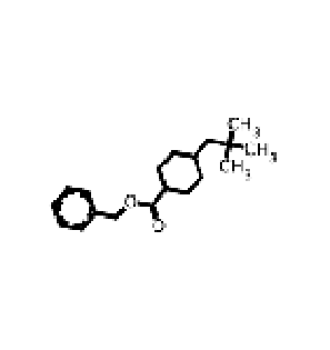 CC(C)(C)CC1CCC(C(=O)OCc2ccccc2)CC1